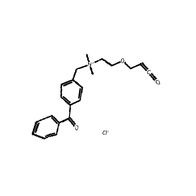 C[N+](C)(CCOCC=C=O)Cc1ccc(C(=O)c2ccccc2)cc1.[Cl-]